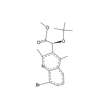 COC(=O)[C@@H](OC(C)(C)C)c1c(C)nc2c(Br)cccc2c1C